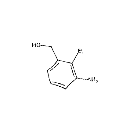 CCc1c(N)cccc1CO